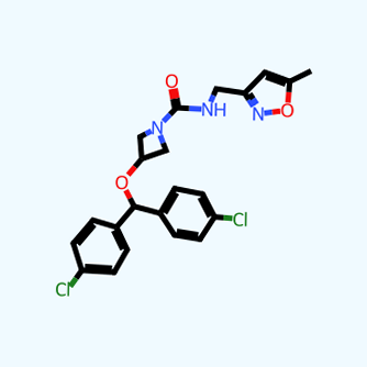 Cc1cc(CNC(=O)N2CC(OC(c3ccc(Cl)cc3)c3ccc(Cl)cc3)C2)no1